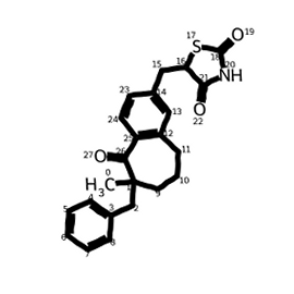 CC1(Cc2ccccc2)CCCc2cc(CC3SC(=O)NC3=O)ccc2C1=O